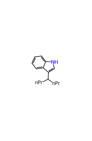 CCCC(CCC)c1c[nH]c2ccccc12